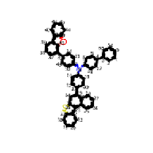 c1ccc(-c2ccc(N(c3ccc(-c4cc5sc6ccccc6c5c5ccccc45)cc3)c3ccc(-c4cccc5c4oc4ccccc45)cc3)cc2)cc1